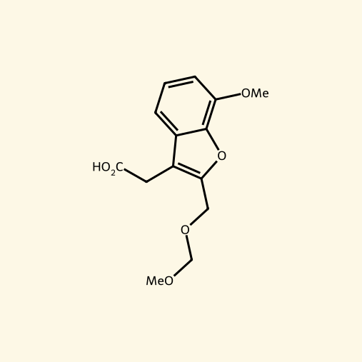 COCOCc1oc2c(OC)cccc2c1CC(=O)O